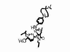 C=CCn1c(=O)c2cnc(Nc3ccc(N4CCC(C)(N(C)C)CC4)cc3)nc2n1C1=NN(C(C)C)C(O)C=C1